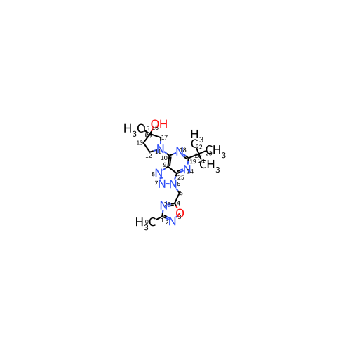 Cc1noc(Cn2nnc3c(N4CC[C@](C)(O)C4)nc(C(C)(C)C)nc32)n1